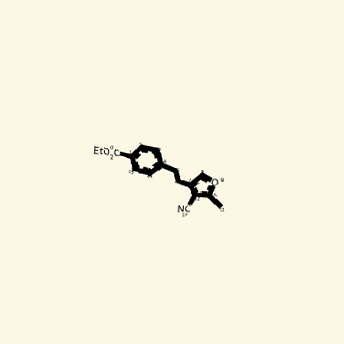 CCOC(=O)c1ccc(CCc2coc(C)c2C#N)cc1